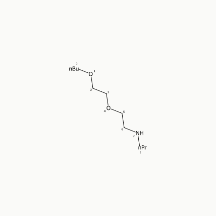 CCCCOCCOCCNCCC